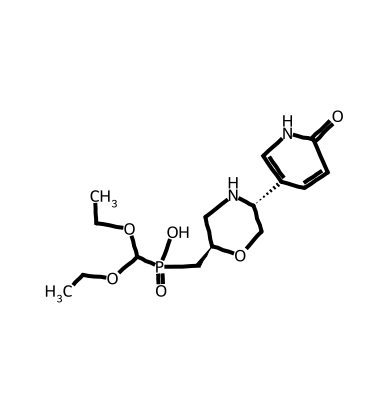 CCOC(OCC)P(=O)(O)C[C@H]1CN[C@H](c2ccc(=O)[nH]c2)CO1